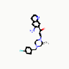 C[C@@H]1CN(Cc2ccc(F)cc2)CCN1/C=C/C(=O)c1cc2ncccc2cc1N